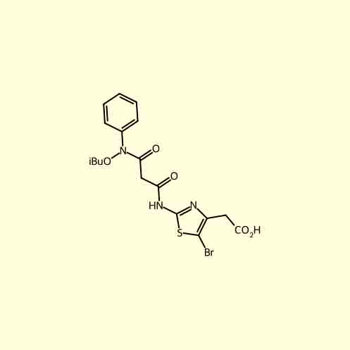 CC(C)CON(C(=O)CC(=O)Nc1nc(CC(=O)O)c(Br)s1)c1ccccc1